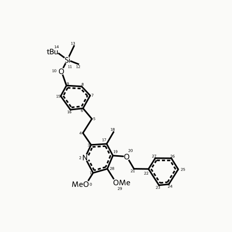 COc1nc(CCc2ccc(O[Si](C)(C)C(C)(C)C)cc2)c(C)c(OCc2ccccc2)c1OC